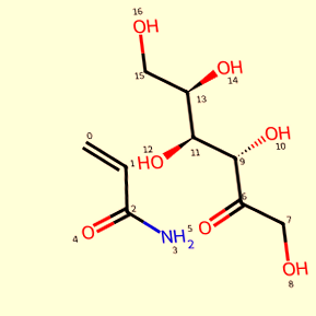 C=CC(N)=O.O=C(CO)[C@@H](O)[C@@H](O)[C@H](O)CO